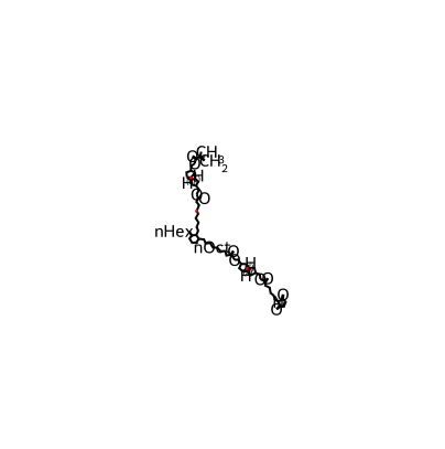 C=C(C)C(=O)OCC1CC2CC1[C@H]1CC(COC(=O)CCCCCCCCC3C(CCCCCC)CCC(CCCCCCCC)C3CCCCCCCCC(=O)OCC3CC4CC3[C@H]3CC(COC(=O)CCCCCN5C(=O)C=CC5=O)C[C@@H]43)C[C@@H]21